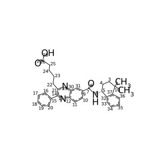 CC1(C)CC[C@@H](NC(=O)c2ccc3nc(-c4ccccc4)c(CCCCC(=O)O)nc3c2)c2ccccc21